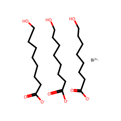 O=C([O-])CCCCCCCO.O=C([O-])CCCCCCCO.O=C([O-])CCCCCCCO.[Bi+3]